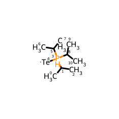 CC(C)[PH]([Te])(C(C)C)C(C)C